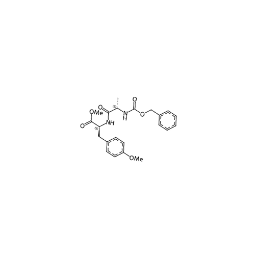 COC(=O)[C@H](Cc1ccc(OC)cc1)NC(=O)[C@H](C)NC(=O)OCc1ccccc1